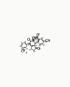 CN1C(=O)N(c2cccc(C(F)(F)F)c2)C2=C(C(=O)CC2)C1c1ccc(C#N)cc1C(=O)Cl